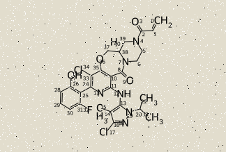 C=CC(=O)N1CCN2C(=O)c3c(Nc4c(C)c(Cl)nn4C(C)C)nc(-c4c(O)cccc4F)c(Cl)c3OC[C@H]2C1